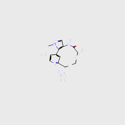 CC[C@@H]1CCC[C@H](N)c2cc(ccn2)-c2c(cnn2C)NC1=O.Cl.Cl.Cl